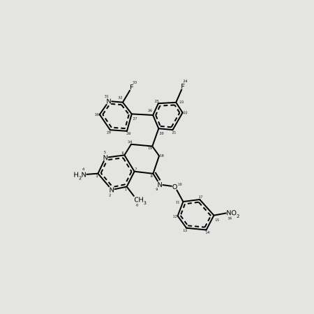 Cc1nc(N)nc2c1/C(=N/Oc1cccc([N+](=O)[O-])c1)CC(c1ccc(F)cc1-c1cccnc1F)C2